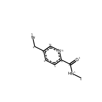 CNC(=O)c1ccc(CBr)cn1